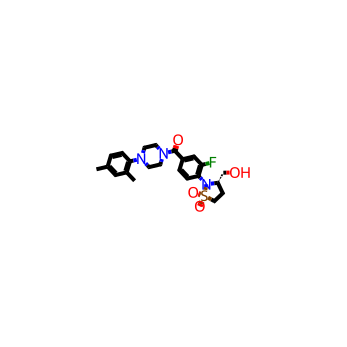 Cc1ccc(N2CCN(C(=O)c3ccc(N4[C@H](CO)CCS4(=O)=O)c(F)c3)CC2)c(C)c1